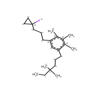 CCC(C)(C)CCCc1cc(CCCC2(I)CC2)c(C)c(C)c1C